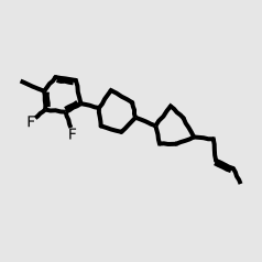 CC=CCC1CCC(C2CCC(c3ccc(C)c(F)c3F)CC2)CC1